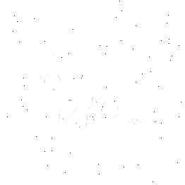 CCOc1ccc(-c2cnc(N)c(-c3nc(C)c(/C=C(\C)OC)[nH]3)c2)cn1